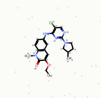 CC(=O)COc1cc2cc(Nc3nc(N4CCC(C)C4)ncc3Cl)ccc2n(C)c1=O